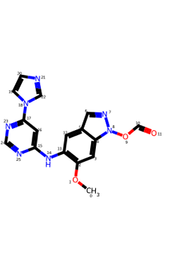 COc1cc2c(cnn2OC=O)cc1Nc1cc(-n2ccnc2)ncn1